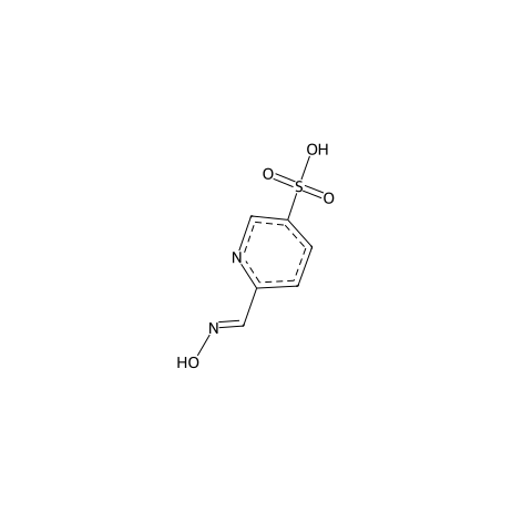 O=S(=O)(O)c1ccc(/C=N/O)nc1